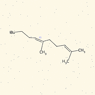 [CH2]CC(C)CC/C=C(\C)CCC=C(C)C